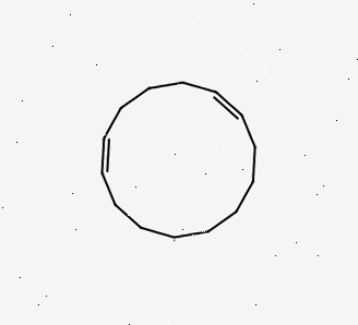 [CH]1CCC=CCCCC=CCCCC1